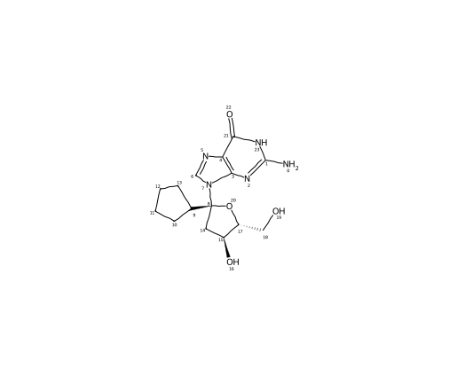 Nc1nc2c(ncn2[C@@]2(C3CCCC3)C[C@H](O)[C@@H](CO)O2)c(=O)[nH]1